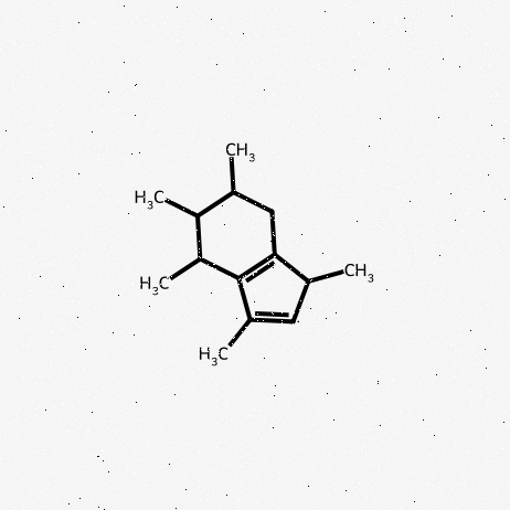 CC1=[C]C(C)C2=C1C(C)C(C)C(C)C2